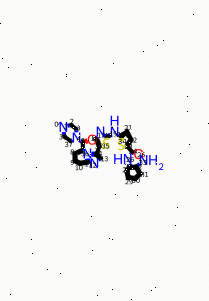 CN1CCN(C(=O)c2cccc3ncc(-c4cnc(Nc5ccc(C(=O)Nc6ccccc6N)s5)s4)n23)CC1